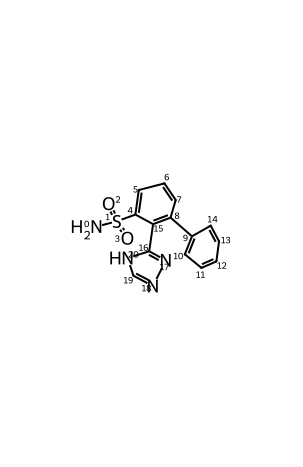 NS(=O)(=O)c1cccc(-c2ccccc2)c1-c1nnc[nH]1